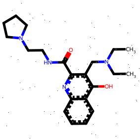 CCN(CC)Cc1c(C(=O)NCCN2CCCC2)nc2ccccc2c1O